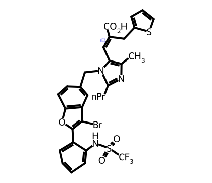 CCCc1nc(C)c(/C=C(\Cc2cccs2)C(=O)O)n1Cc1ccc2oc(-c3ccccc3NS(=O)(=O)C(F)(F)F)c(Br)c2c1